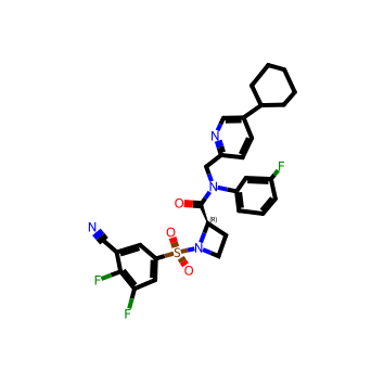 N#Cc1cc(S(=O)(=O)N2CC[C@@H]2C(=O)N(Cc2ccc(C3CCCCC3)cn2)c2cccc(F)c2)cc(F)c1F